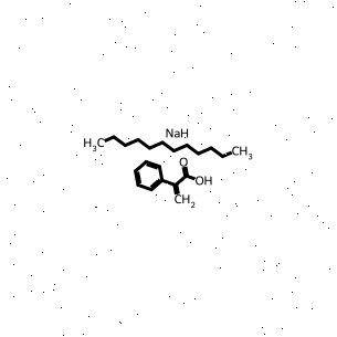 C=C(C(=O)O)c1ccccc1.CCCCCCCCCCCC.[NaH]